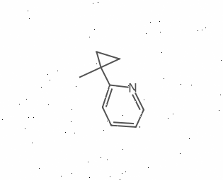 CC1(c2cc[c]cn2)CC1